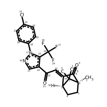 CC1(C)[C@H]2CC[C@]1(C)C(=O)/C2=C/C(=O)c1cnn(-c2ccc(Cl)cc2)c1C(F)(F)F